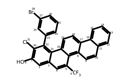 Oc1cc2cc(C(F)(F)F)c3c4ccc5ccccc5c4ccc3c2c(-c2cccc(Br)c2)c1Cl